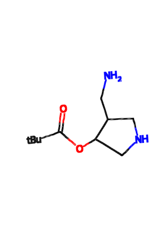 CC(C)(C)C(=O)OC1CNCC1CN